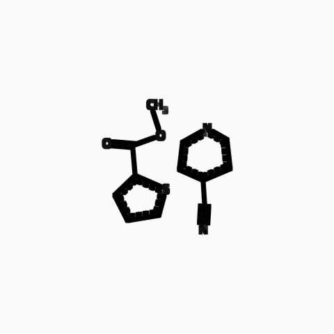 COC(=O)c1cccs1.N#Cc1ccncc1